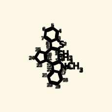 Cc1sc2ccccc2c1C1=C(c2c(C)n(C)c3ccccc23)CCC1